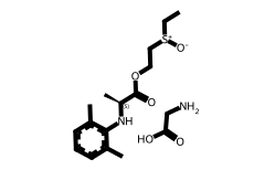 CC[S+]([O-])CCOC(=O)[C@H](C)Nc1c(C)cccc1C.NCC(=O)O